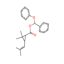 CC(C)=CC1C(C(=O)OC(Oc2ccccc2)c2ccccc2)C1(C)C